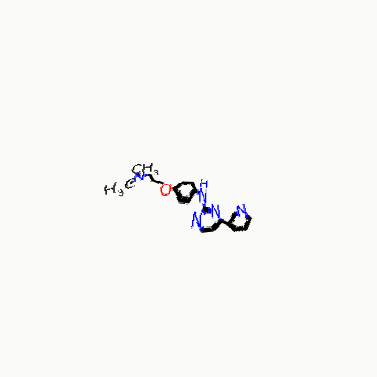 CN(C)CCCOc1ccc(Nc2nccc(-c3cccnc3)n2)cc1